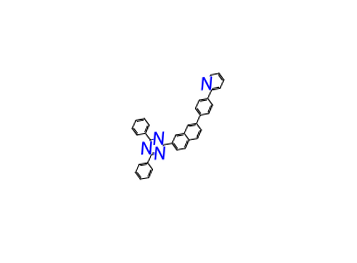 c1ccc(-c2nc(-c3ccccc3)nc(-c3ccc4ccc(-c5ccc(-c6ccccn6)cc5)cc4c3)n2)cc1